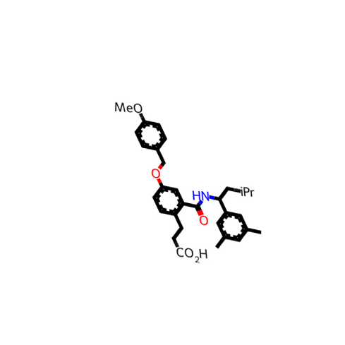 COc1ccc(COc2ccc(CCC(=O)O)c(C(=O)NC(CC(C)C)c3cc(C)cc(C)c3)c2)cc1